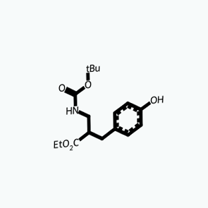 CCOC(=O)C(CNC(=O)OC(C)(C)C)Cc1ccc(O)cc1